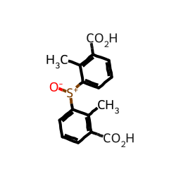 Cc1c(C(=O)O)cccc1[S+]([O-])c1cccc(C(=O)O)c1C